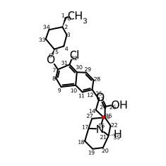 CC[C@H]1CC[C@@H](Oc2ccc3cc(CCCN4C5CCC[C@@H]4CC(C(=O)O)C5)ccc3c2Cl)CC1